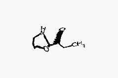 CCC(=O)C1NCCO1